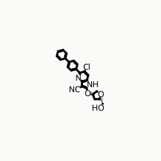 N#Cc1c(O[C@@H]2CO[C@H](CO)C2)[nH]c2cc(Cl)c(-c3ccc(-c4ccccc4)cc3)nc12